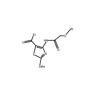 CCC(=O)c1sc(SC)nc1NC(=O)COC(C)C